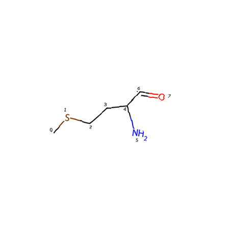 CSCCC(N)[C]=O